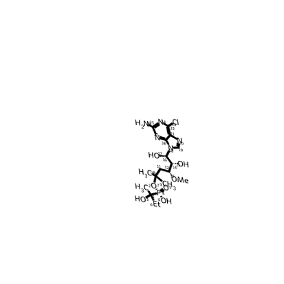 CCC(C)(O)P(=O)(O)OC(C)(C)C[C@@H](OC)[C@@H](O)[C@@H](O)n1cnc2c(Cl)nc(N)nc21